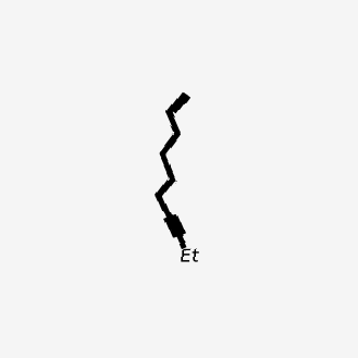 C=CCCCCC#CCC